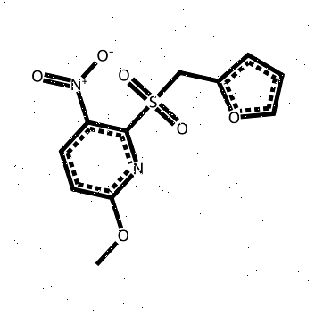 COc1ccc([N+](=O)[O-])c(S(=O)(=O)Cc2ccco2)n1